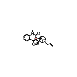 C=CC[N+]12CCC(CC1)[C@@H](OC(=O)N(C)c1ccccc1-c1ccco1)C2